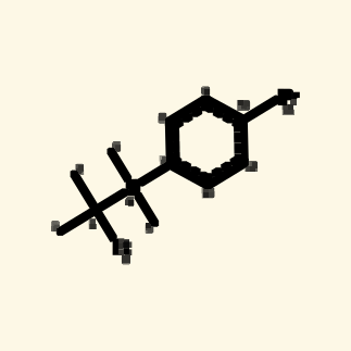 CCC(C)(C)[Si](C)(C)c1ccc(C(C)C)cc1